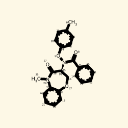 Cc1ccc(ON(C(=O)c2ccccc2)[C@H]2COc3ccccc3N(C)C2=O)cc1